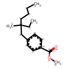 CCCCC(C)(CC)Cc1ccc(C(=O)OC)cc1